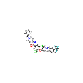 O=C(NC1CCN(Cc2ccccc2)CC1)c1cc(Cl)c(OC2CCN(Cc3cccc(C(F)(F)F)c3)CC2)c(Cl)c1